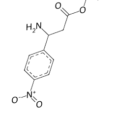 COC(=O)CC(N)c1ccc([N+](=O)[O-])cc1